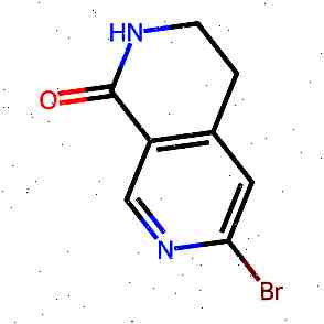 O=C1NCCc2cc(Br)ncc21